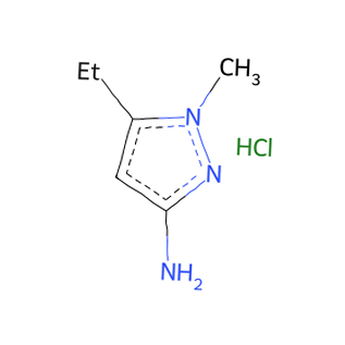 CCc1cc(N)nn1C.Cl